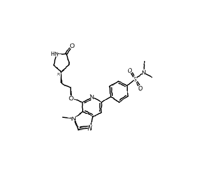 CN(C)S(=O)(=O)c1ccc(-c2cc3ncn(C)c3c(OCC[C@H]3CNC(=O)C3)n2)cc1